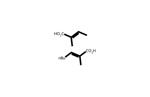 CC=C(C)C(=O)O.CCCCC=C(C)C(=O)O